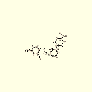 Fc1cc(Cl)ccc1COc1cccc(N2CCC3(CC2)CC3)n1